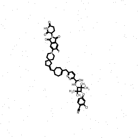 CC1(C)[C@H](NC(O)c2ccc(CC3=CCCC(/C=C4/CCC5(CCN(c6cc7c(cc6F)C(=O)N(C6CCC(=O)NC6=O)C7=O)CC5)C4)CC3)nn2)C(C)(C)[C@@H]1Oc1ccc(C#N)c(Cl)c1